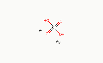 [Ag].[O]=[Cr](=[O])([OH])[OH].[V]